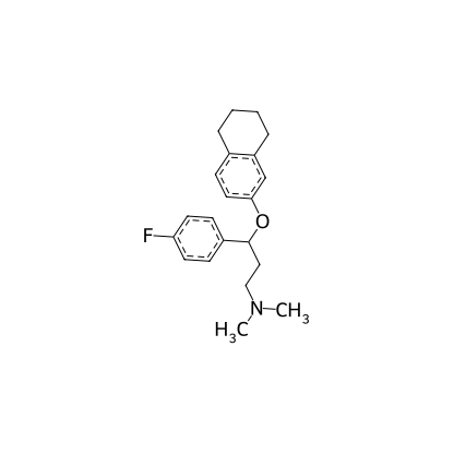 CN(C)CCC(Oc1ccc2c(c1)CCCC2)c1ccc(F)cc1